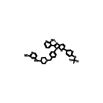 [2H]C([2H])(F)Oc1ccc(-c2ccc3nc(-c4cccnc4N)n(-c4ccc(CN5CCC(Nc6ccnc(C#N)n6)CC5)cc4)c3n2)cn1